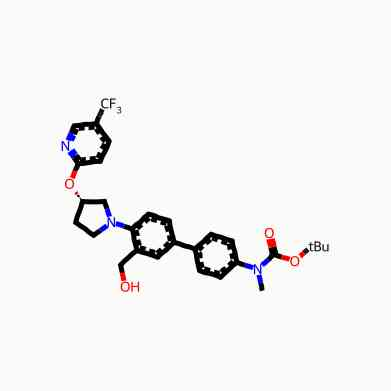 CN(C(=O)OC(C)(C)C)c1ccc(-c2ccc(N3CC[C@H](Oc4ccc(C(F)(F)F)cn4)C3)c(CO)c2)cc1